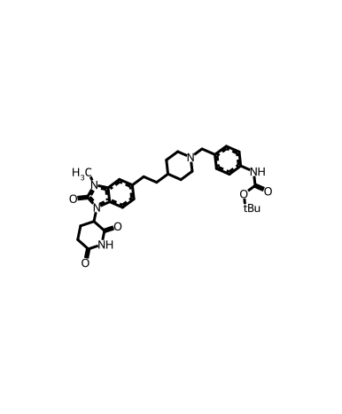 Cn1c(=O)n(C2CCC(=O)NC2=O)c2ccc(CCC3CCN(Cc4ccc(NC(=O)OC(C)(C)C)cc4)CC3)cc21